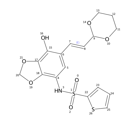 O=S(=O)(Nc1cc(/C=C/C2OCCCO2)c(O)c2c1OCO2)c1cccs1